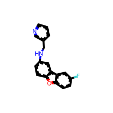 Fc1ccc2oc3ccc(NCc4cccnc4)cc3c2c1